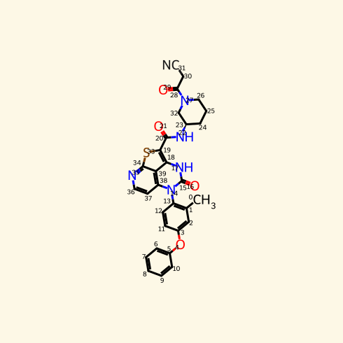 Cc1cc(Oc2ccccc2)ccc1N1C(=O)Nc2c(C(=O)N[C@@H]3CCCN(C(=O)CC#N)C3)sc3nccc1c23